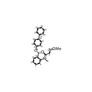 CON=CC(=O)N(C)c1ccccc1COc1ccc(-c2ccccc2)cc1